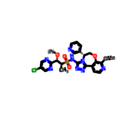 COc1nccc2c1OC[C@@H](c1cccnc1)n1c(NS(=O)(=O)[C@@H](C)[C@@H](OC(C)C)c3ncc(Cl)cn3)nnc1-2